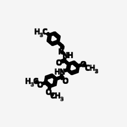 COc1ccc(NC(=O)c2ccc(OC)c(OC)c2)c(C(=O)NN=Cc2ccc(C)cc2)c1